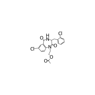 CC(=O)OCCN1C(=O)C(Cc2ccccc2Cl)NC(=O)c2cc(Cl)ccc21